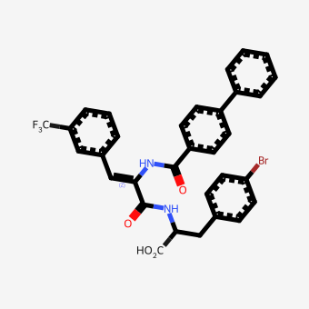 O=C(NC(Cc1ccc(Br)cc1)C(=O)O)/C(=C/c1cccc(C(F)(F)F)c1)NC(=O)c1ccc(-c2ccccc2)cc1